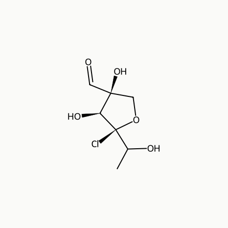 CC(O)[C@@]1(Cl)OC[C@@](O)(C=O)[C@@H]1O